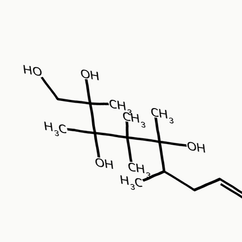 C=CCC(C)C(C)(O)C(C)(C)C(C)(O)C(C)(O)CO